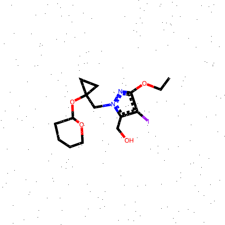 CCOc1nn(CC2(OC3CCCCO3)CC2)c(CO)c1I